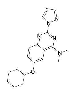 CN(C)c1nc(-n2cccn2)nc2ccc(OC3CCCCC3)cc12